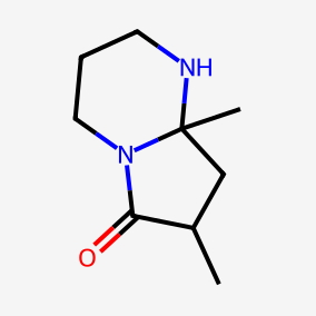 CC1CC2(C)NCCCN2C1=O